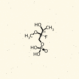 CO[C@](F)(COP(=O)(O)O)[C@H](C)O